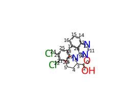 O=C(O)C1CCCCN1c1ncnc2cccc(-c3ccc(Cl)c(Cl)c3)c12